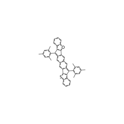 Cc1cc(C)c(C2=c3cc4cc5c(cc4cc3-c3oc4ccccc4c32)=C(c2c(C)cc(C)cc2C)c2c-5sc3ccccc23)c(C)c1